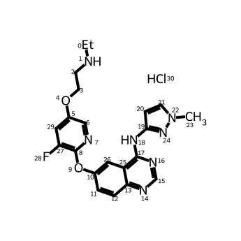 CCNCCOc1cnc(Oc2ccc3ncnc(Nc4ccn(C)n4)c3c2)c(F)c1.Cl